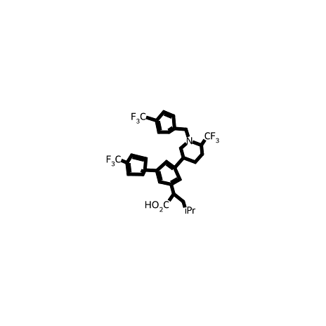 CC(C)CC(C(=O)O)c1cc(-c2ccc(C(F)(F)F)cc2)cc(C2CCC(C(F)(F)F)N(Cc3ccc(C(F)(F)F)cc3)C2)c1